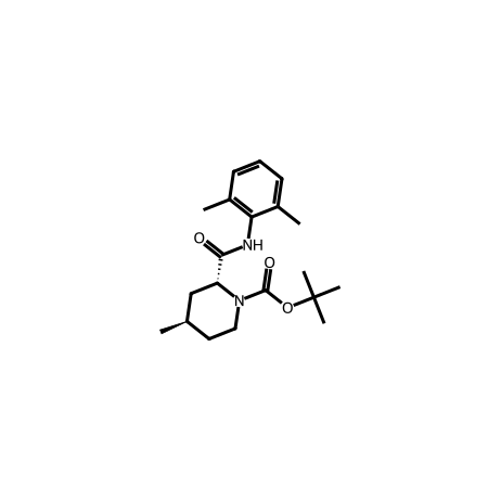 Cc1cccc(C)c1NC(=O)[C@H]1C[C@H](C)CCN1C(=O)OC(C)(C)C